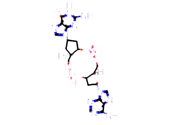 Nc1nc2c(ncn2[C@H]2CC3OP(=O)(O)OC[C@H]4O[C@@H](n5cnc6c(N)ncnc65)CC4OP(=O)(O)OC[C@H]3C2)c(=O)[nH]1